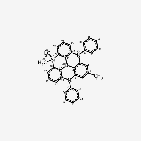 Cc1cc2c3c(c1)N(c1ccccc1)c1cccc4c1B3c1c(cccc1[Si]4(C)C)N2c1ccccc1